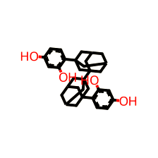 Oc1ccc(C23CC4CC(C2)CC(C25CC6CC(CC(c7ccc(O)cc7O)(C6)C2)C5)(C4)C3)c(O)c1